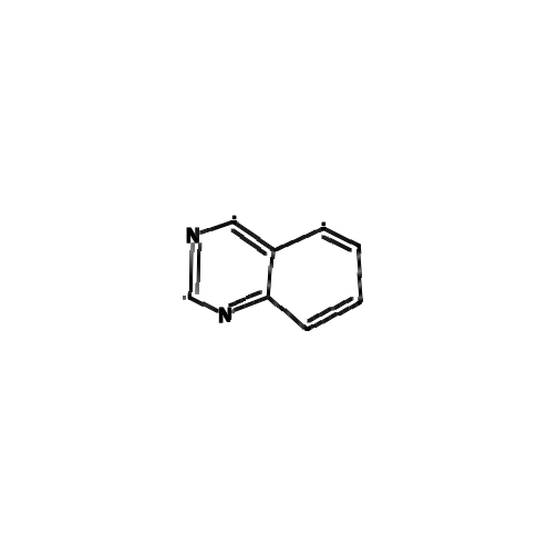 [c]1n[c]c2[c]cccc2n1